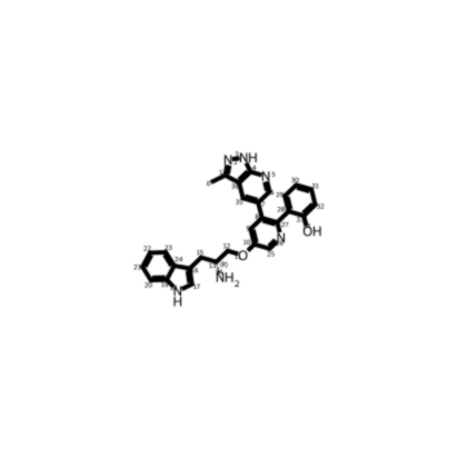 Cc1n[nH]c2ncc(-c3cc(OC[C@H](N)Cc4c[nH]c5ccccc45)cnc3-c3ccccc3O)cc12